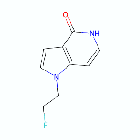 O=c1[nH]ccc2c1ccn2CCF